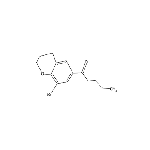 CCCCC(=O)c1cc(Br)c2c(c1)CCCO2